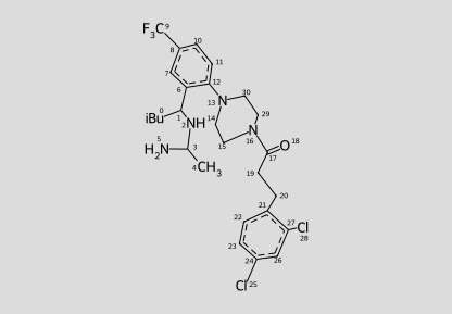 CCC(C)C(NC(C)N)c1cc(C(F)(F)F)ccc1N1CCN(C(=O)CCc2ccc(Cl)cc2Cl)CC1